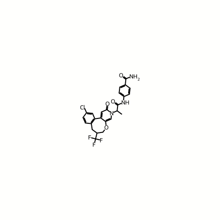 CC(C(=O)Nc1ccc(C(N)=O)cc1)n1cc2c(cc1=O)-c1cc(Cl)ccc1CC(C(F)(F)F)CO2